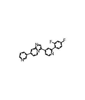 Fc1ccc(-c2cc(-c3cnc4cc(-c5cccnc5)ccn34)ccn2)c(F)c1